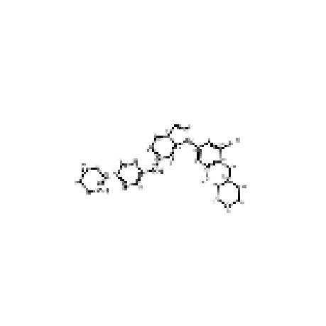 Fc1cc(-n2ccc3cnc(Nc4ccc([C@H]5COCCN5)cc4)nc32)cc(F)c1CN1CCOCC1